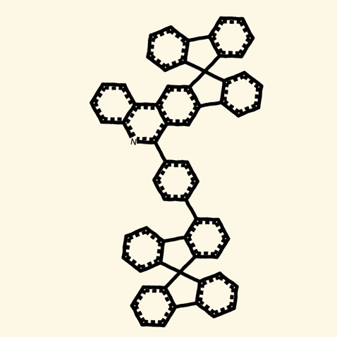 c1ccc2c(c1)-c1ccccc1C21c2ccccc2-c2cc3c(-c4ccc(-c5cccc6c5-c5ccccc5C65c6ccccc6-c6ccccc65)cc4)nc4ccccc4c3cc21